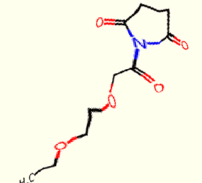 CCOCCOCC(=O)N1C(=O)CCC1=O